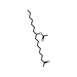 CCCCCCCC(CCCCCCCC(C)=O)OC(C)=O